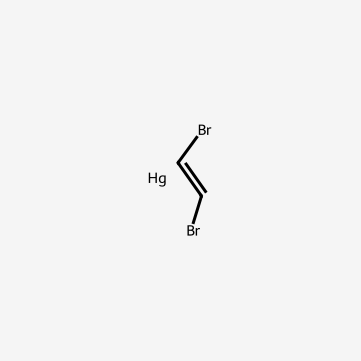 BrC=CBr.[Hg]